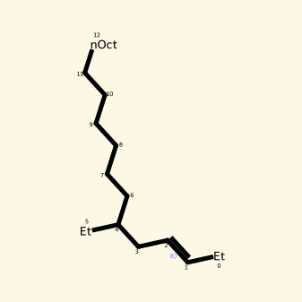 [CH2]C/C=C/CC(CC)CCCCCCCCCCCCC[CH2]